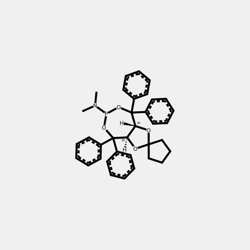 CN(C)P1OC(c2ccccc2)(c2ccccc2)[C@@H]2OC3(CCCC3)O[C@H]2C(c2ccccc2)(c2ccccc2)O1